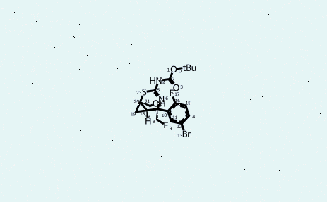 CC(C)(C)OC(=O)NC1=N[C@](CF)(c2cc(Br)ccc2F)[C@@H]2C[C@]2(CO)S1